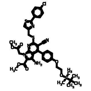 COC(=O)Cn1c(C(=O)OC)c(N)c2c(-c3ccc(OCCO[Si](C)(C)C(C)(C)C)cc3)c(C#N)c(SCc3csc(-c4ccc(Cl)cc4)n3)nc21